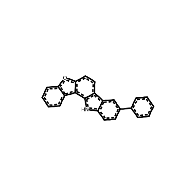 c1ccc(-c2ccc3[nH]c4c(ccc5oc6ccccc6c54)c3c2)cc1